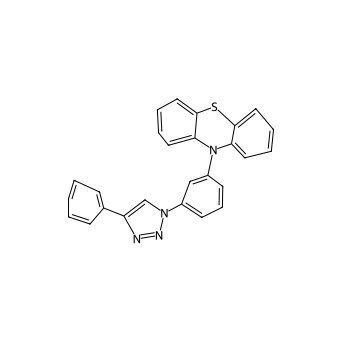 c1ccc(-c2cn(-c3cccc(N4c5ccccc5Sc5ccccc54)c3)nn2)cc1